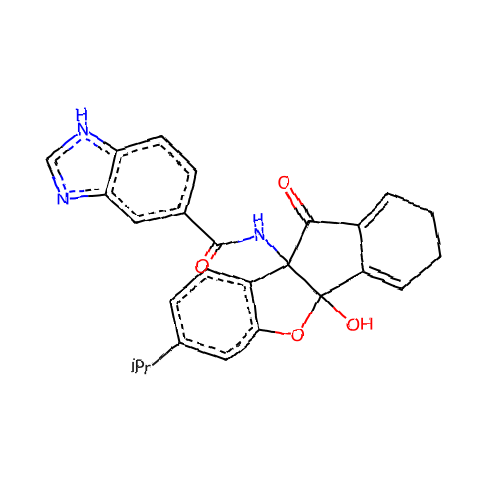 CC(C)c1ccc2c(c1)OC1(O)C3=CCCC=C3C(=O)C21NC(=O)c1ccc2[nH]cnc2c1